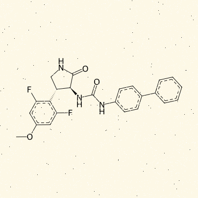 COc1cc(F)c([C@@H]2CNC(=O)[C@H]2NC(=O)Nc2ccc(-c3ccccc3)cc2)c(F)c1